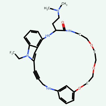 CN(C)CCC1Nc2cccc3c2cc(n3CC(F)(F)F)C#CCNc2cccc(c2)OCCOCCOCCNC1=O